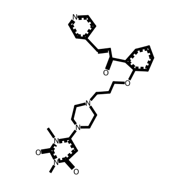 Cn1c(N2CCN(CCCOc3ccccc3C(=O)C=Cc3ccncc3)CC2)cc(=O)n(C)c1=O